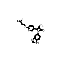 C=C1C(=O)N(c2ccc3[nH]cnc3c2)C1c1ccc(OCCC(F)F)nc1